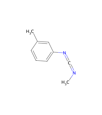 CN=C=Nc1cccc(C)c1